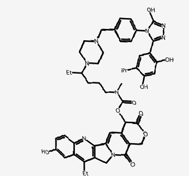 CCc1c2c(nc3ccc(O)cc13)-c1cc3c(c(=O)n1C2)COC(=O)C3OC(=O)N(C)CCCC(CC)N1CCN(Cc2ccc(-n3c(O)nnc3-c3cc(C(C)C)c(O)cc3O)cc2)CC1